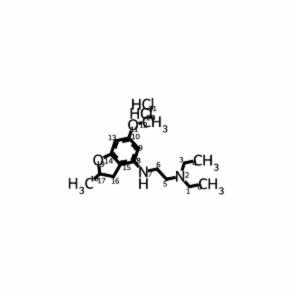 CCN(CC)CCNc1cc(OC)cc2c1CC(C)O2.Cl.Cl